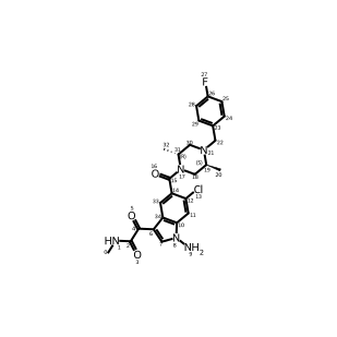 CNC(=O)C(=O)c1cn(N)c2cc(Cl)c(C(=O)N3C[C@H](C)N(Cc4ccc(F)cc4)C[C@H]3C)cc12